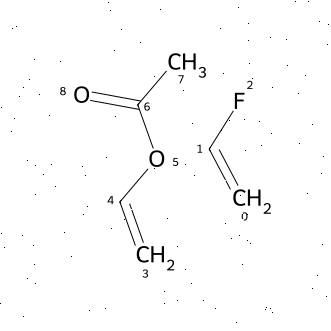 C=CF.C=COC(C)=O